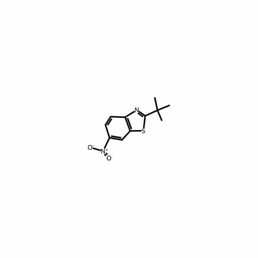 CC(C)(C)c1nc2ccc([N+](=O)[O-])cc2s1